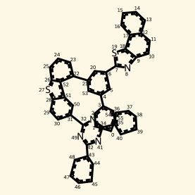 c1ccc(-c2cc(-c3nc4ccc5ccccc5c4s3)cc(-c3cccc4sc5ccc(-c6nc(-c7ccccc7)nc(-c7ccccc7)n6)cc5c34)c2)cc1